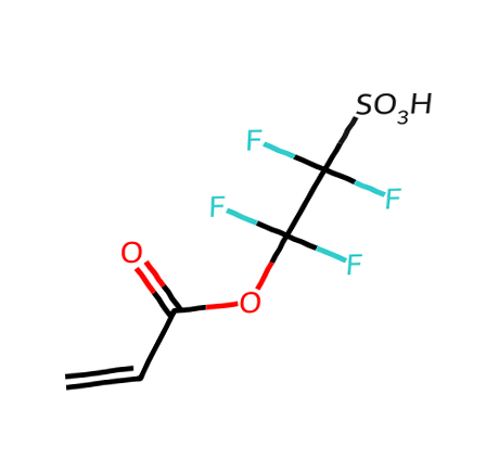 C=CC(=O)OC(F)(F)C(F)(F)S(=O)(=O)O